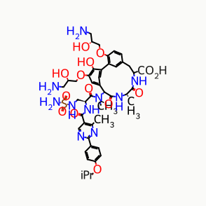 Cc1nc(-c2ccc(OC(C)C)cc2)ncc1C(=O)N[C@@H](CNS(N)(=O)=O)C(=O)N(C)[C@@H]1C(=O)N[C@@H](C)C(=O)NC(C(=O)O)Cc2ccc(OC[C@H](O)CN)c(c2)-c2cc1cc(OC[C@H](O)CN)c2O